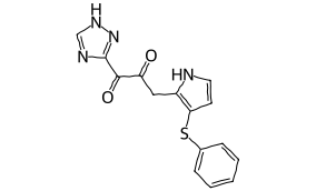 O=C(Cc1[nH]ccc1Sc1ccccc1)C(=O)c1nc[nH]n1